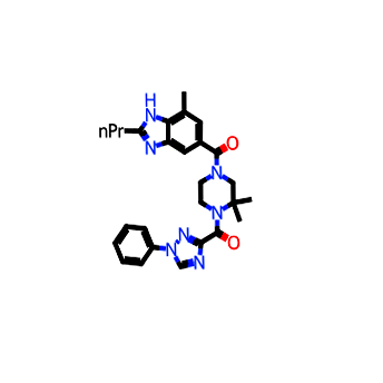 CCCc1nc2cc(C(=O)N3CCN(C(=O)c4ncn(-c5ccccc5)n4)C(C)(C)C3)cc(C)c2[nH]1